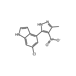 Cc1n[nH]c(-c2cc(Cl)cc3[nH]ccc23)c1[N+](=O)[O-]